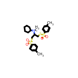 Cc1ccc(S(=O)(=O)SCC(CSS(=O)(=O)c2ccc(C)cc2)N(C)C2CCCCC2)cc1